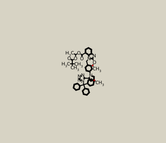 CCOc1nc2cccc(C(=O)OC(C)OC(=O)C(C)(C)C)c2n1Cc1ccc(-n2cc(C)cc2-c2nnnn2C(c2ccccc2)(c2ccccc2)c2ccccc2)cc1